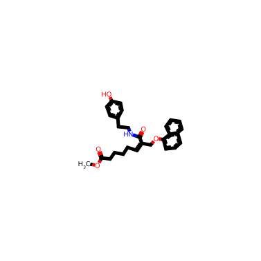 COC(=O)CCCCC=C(COc1cccc2ccccc12)C(=O)NCCc1ccc(O)cc1